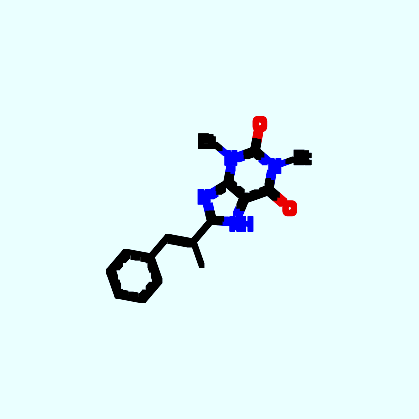 CCn1c(=O)c2[nH]c(/C(C)=C/c3ccccc3)nc2n(CC)c1=O